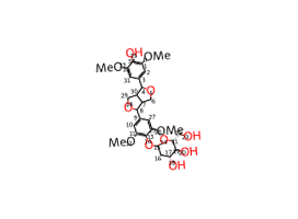 COc1cc(C2OCC3C(c4cc(OC)c(OC5C[C@@H](O)[C@H](O)[C@@H](CO)O5)c(OC)c4)OCC23)cc(OC)c1O